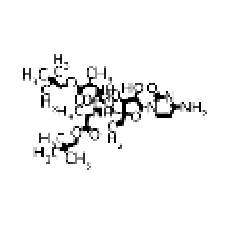 C=C[C@]1(COP(=O)(N[C@@H](C)C(=O)OCC(C)(C)C)N[C@@H](C)C(=O)OCC(C)(C)C)O[C@@H](n2ccc(N)nc2=O)[C@H](O)[C@@H]1O